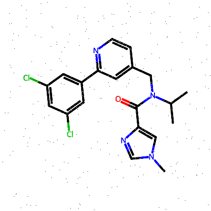 CC(C)N(Cc1ccnc(-c2cc(Cl)cc(Cl)c2)c1)C(=O)c1cn(C)cn1